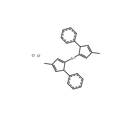 CC1=CC(c2ccccc2)[C]([Zr+2][C]2=CC(C)=CC2c2ccccc2)=C1.[Cl-].[Cl-]